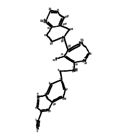 N#Cc1cnc2cc(CNc3ncnc(N4CCc5ncccc5C4)c3F)ccc2c1